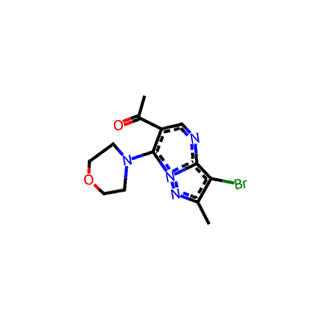 CC(=O)c1cnc2c(Br)c(C)nn2c1N1CCOCC1